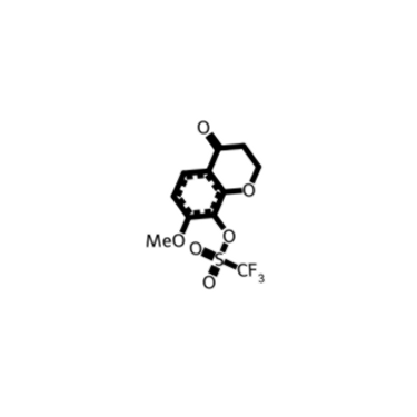 COc1ccc2c(c1OS(=O)(=O)C(F)(F)F)OCCC2=O